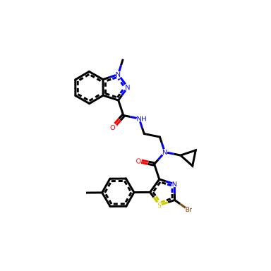 Cc1ccc(-c2sc(Br)nc2C(=O)N(CCNC(=O)c2nn(C)c3ccccc23)C2CC2)cc1